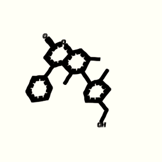 Cc1cc(CO)ccc1-c1c(C)cc2oc(=O)cc(-c3ccccc3)c2c1C